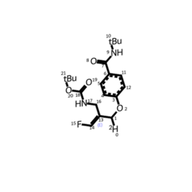 [2H]C(Oc1ccc(C(=O)NC(C)(C)C)cc1)/C(=C/F)CNC(=O)OC(C)(C)C